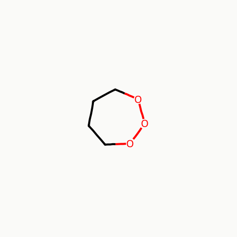 C1CCOOOC1